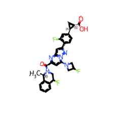 C[C@@H]1c2ccccc2C(F)CN1C(=O)c1cc(N2CC(F)C2)n2nc(-c3ccc([C@H]4C[C@@H]4C(=O)O)cc3F)cc2n1